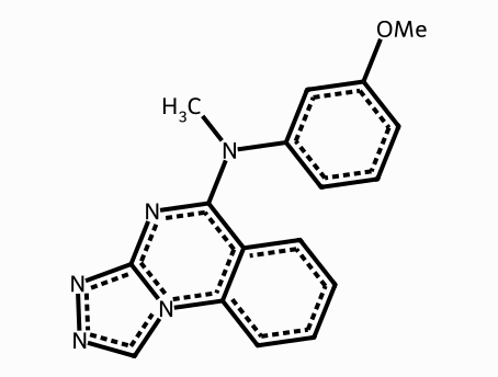 COc1cccc(N(C)c2nc3nncn3c3ccccc23)c1